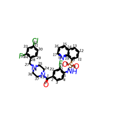 O=C(c1ccc(NS(=O)(=O)c2cccc3cccnc23)c(F)c1)N1CCN(Cc2ccc(Cl)cc2F)CC1